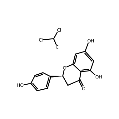 ClC(Cl)Cl.O=C1C[C@@H](c2ccc(O)cc2)Oc2cc(O)cc(O)c21